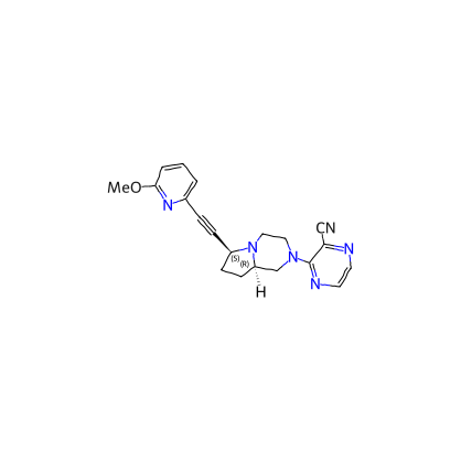 COc1cccc(C#C[C@@H]2CC[C@@H]3CN(c4nccnc4C#N)CCN32)n1